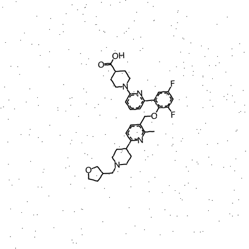 Cc1nc(C2CCN(CC3CCOC3)CC2)ccc1COc1c(F)cc(F)cc1-c1cccc(N2CCC(C(=O)O)CC2)n1